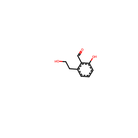 O=Cc1c(O)cccc1CCO